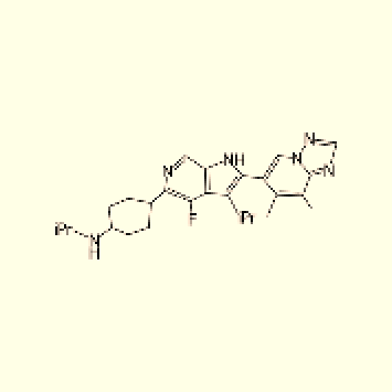 Cc1c(-c2[nH]c3cnc(C4CCC(NC(C)C)CC4)c(F)c3c2C(C)C)cn2ncnc2c1C